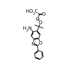 CC(C)(OOC(=O)C(=O)O)c1cc2oc(-c3ccccc3)nc2cc1N